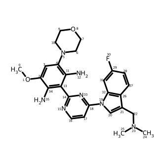 COc1cc(N2CCOCC2)c(N)c(-c2nccc(-n3cc(CN(C)C)c4ccc(F)cc43)n2)c1N